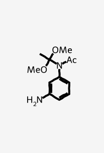 COC(C)(OC)N(C(C)=O)c1cccc(N)c1